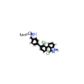 CONCc1ccc(-c2cccc(-c3cccc4c3c(Cl)nn4C)c2Cl)cc1